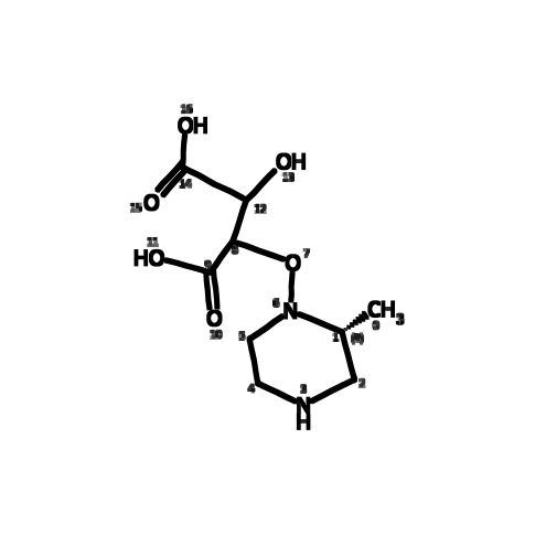 C[C@@H]1CNCCN1OC(C(=O)O)C(O)C(=O)O